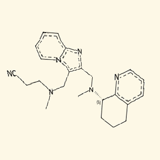 CN(CCC#N)Cc1c(CN(C)[C@H]2CCCc3cccnc32)nc2ccccn12